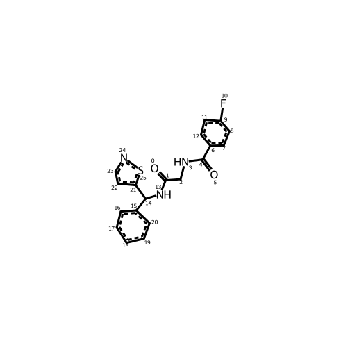 O=C(CNC(=O)c1ccc(F)cc1)NC(c1ccccc1)c1ccns1